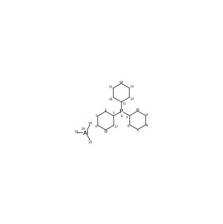 C1CCC(P(C2CCCCC2)C2CCCCC2)CC1.[CH3][Al]([CH3])[CH3]